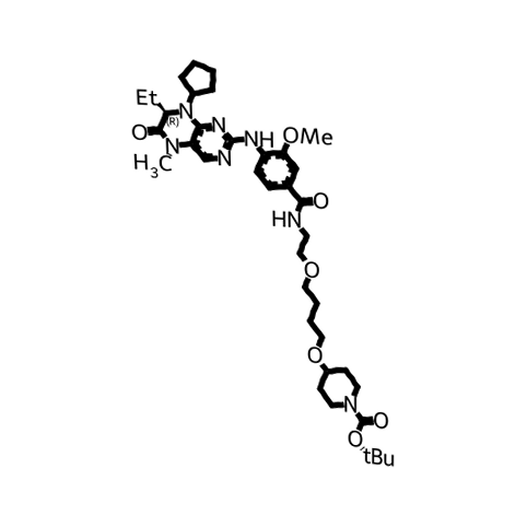 CC[C@@H]1C(=O)N(C)c2cnc(Nc3ccc(C(=O)NCCOCCCCOC4CCN(C(=O)OC(C)(C)C)CC4)cc3OC)nc2N1C1CCCC1